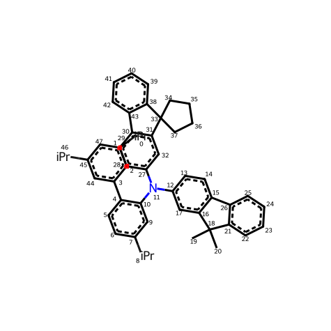 CC(C)c1cc(-c2ccc(C(C)C)cc2N(c2ccc3c(c2)C(C)(C)c2ccccc2-3)c2ccc3c(c2)C2(CCCC2)c2ccccc2-3)cc(C(C)C)c1